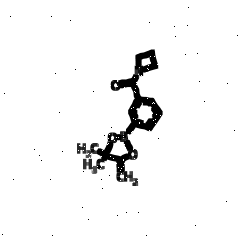 C=C1OB(c2cccc(C(=O)N3CCC3)c2)OC1(C)C